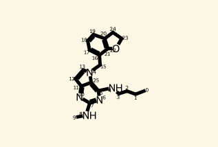 CCCCNc1nc(NC)nc2ccn(Cc3cccc4c3OCC4)c12